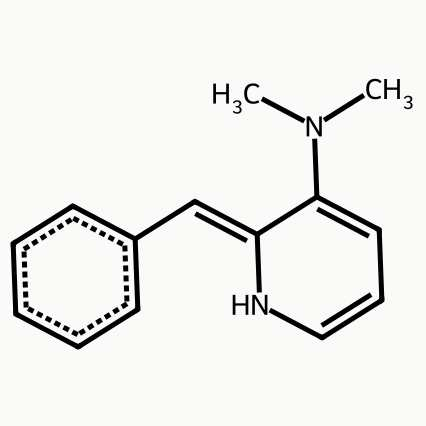 CN(C)C1=CC=CNC1=Cc1ccccc1